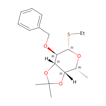 CCS[C@@H]1O[C@H](C)[C@@H]2OC(C)(C)O[C@@H]2[C@H]1OCc1ccccc1